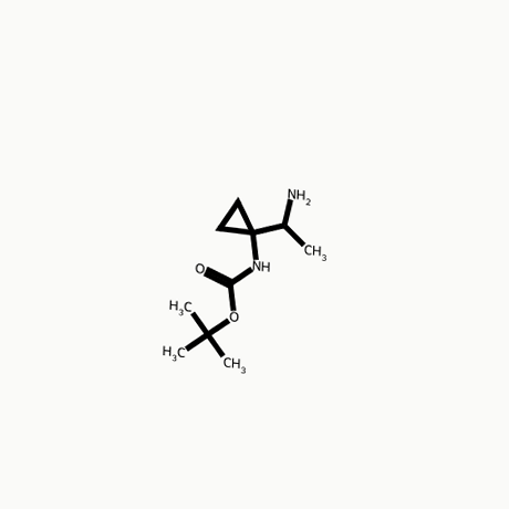 CC(N)C1(NC(=O)OC(C)(C)C)CC1